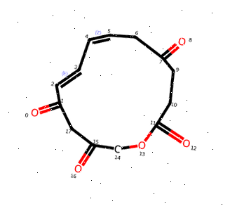 O=C1/C=C/C=C\CC(=O)CCC(=O)OCC(=O)C1